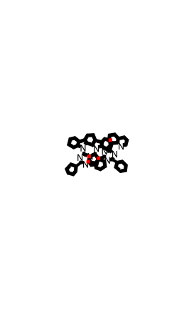 c1ccc(-c2nc(-c3ccccc3-n3c4ccccc4c4ccc5c6ccccc6n(-c6nc(-c7ccccc7)nc(-c7ccccc7)n6)c5c43)nc(-c3cccc4cccnc34)n2)cc1